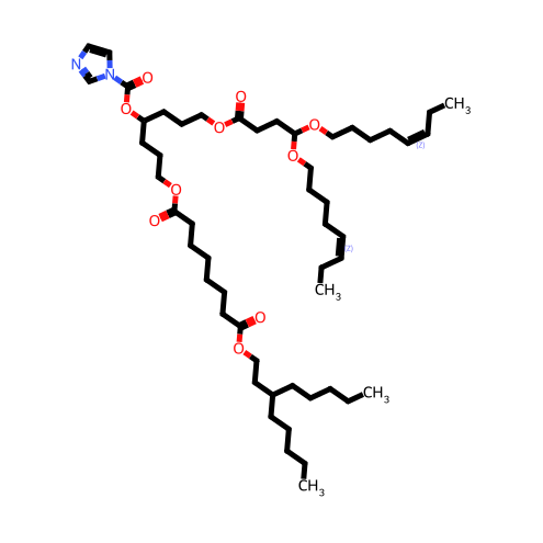 CC/C=C\CCCCOC(CCC(=O)OCCCC(CCCOC(=O)CCCCCCC(=O)OCCC(CCCCC)CCCCC)OC(=O)n1ccnc1)OCCCC/C=C\CC